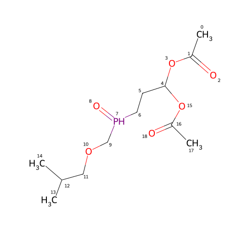 CC(=O)OC(CC[PH](=O)COCC(C)C)OC(C)=O